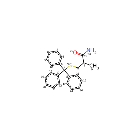 CC(CSC(c1ccccc1)(c1ccccc1)c1ccccc1)C(N)=O